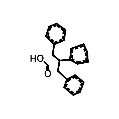 O=CO.c1ccc(CC(Cc2ccccc2)c2ccccc2)cc1